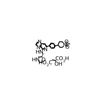 CS(=O)(=O)N1CCC(c2ccc(-c3cc4nccnc4c(NC[C@@H]4CNCCO4)n3)cc2)CC1.O=C(O)CC(O)C(=O)O